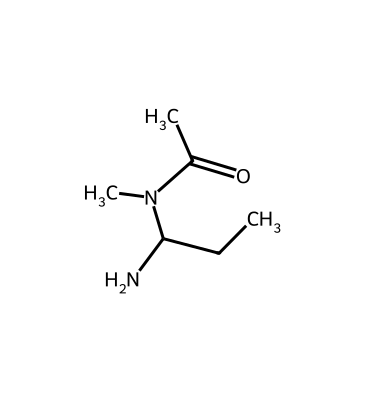 CCC(N)N(C)C(C)=O